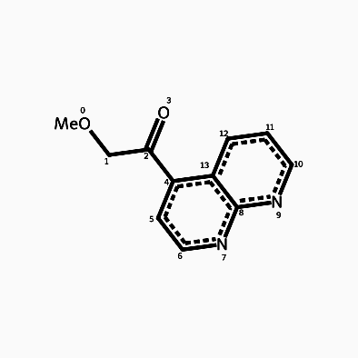 COCC(=O)c1ccnc2ncccc12